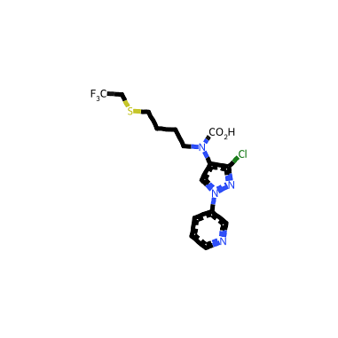 O=C(O)N(CCCCSCC(F)(F)F)c1cn(-c2cccnc2)nc1Cl